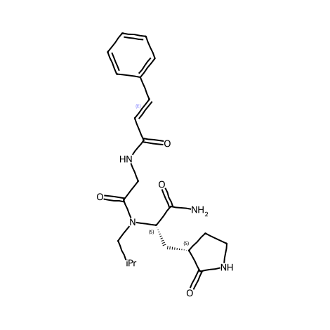 CC(C)CN(C(=O)CNC(=O)/C=C/c1ccccc1)[C@@H](C[C@@H]1CCNC1=O)C(N)=O